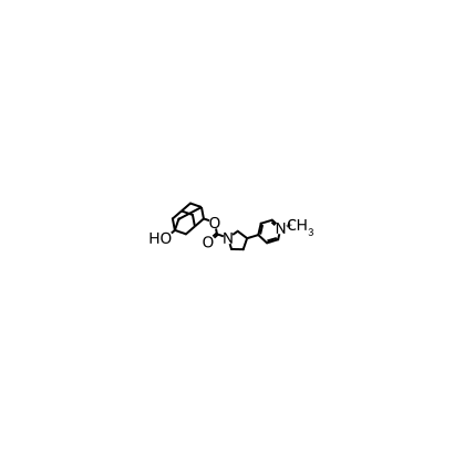 C[n+]1ccc(C2CCN(C(=O)OC3C4CC5CC3CC(O)(C5)C4)C2)cc1